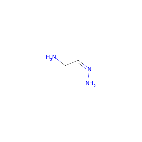 NC/C=N\N